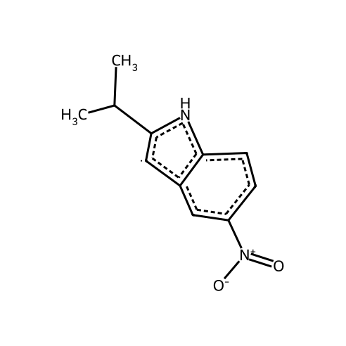 CC(C)c1[c]c2cc([N+](=O)[O-])ccc2[nH]1